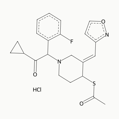 CC(=O)SC1CCN(C(C(=O)C2CC2)c2ccccc2F)C/C1=C\c1ccon1.Cl